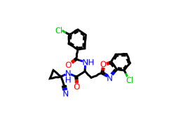 N#CC1(NC(=O)C(Cc2nc3c(Cl)cccc3o2)NC(=O)c2cccc(Cl)c2)CC1